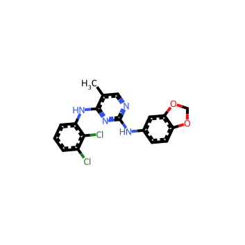 Cc1cnc(Nc2ccc3c(c2)OCO3)nc1Nc1cccc(Cl)c1Cl